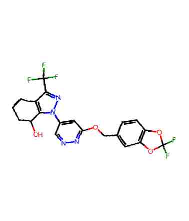 OC1CCCc2c(C(F)(F)F)nn(-c3cnnc(OCc4ccc5c(c4)OC(F)(F)O5)c3)c21